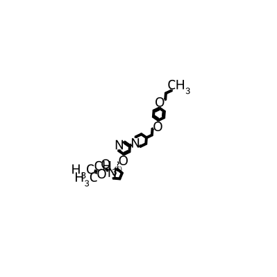 CCCCOc1ccc(OCCC2CCN(c3cncc(OC[C@@H]4CCCN4C(=O)OC(C)(C)C)c3)CC2)cc1